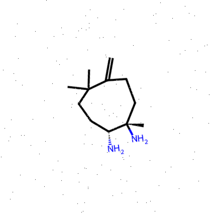 C=C1CC[C@](C)(N)[C@H](N)CCC1(C)C